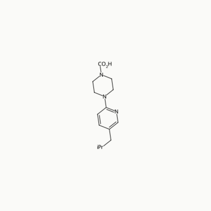 CC(C)Cc1ccc(N2CCN(C(=O)O)CC2)nc1